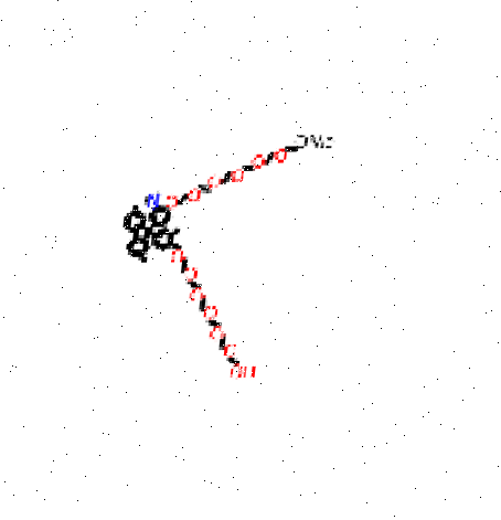 COCCOCCOCCOCCOCCOCCOc1ccc(C2(c3ccc(COCCOCCOCCOCCOCCOCCO)c(C)c3)c3cc(C)ccc3-c3ccc(C)cc32)cc1N(C)C